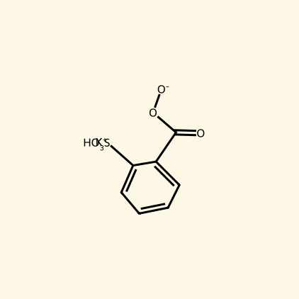 O=C(O[O-])c1ccccc1S(=O)(=O)O.[K+]